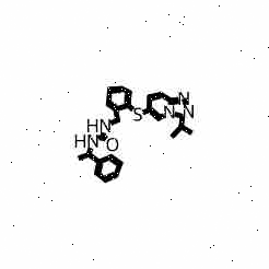 CC(C)c1nnc2ccc(Sc3ccccc3CNC(=O)NC(C)c3ccccc3)cn12